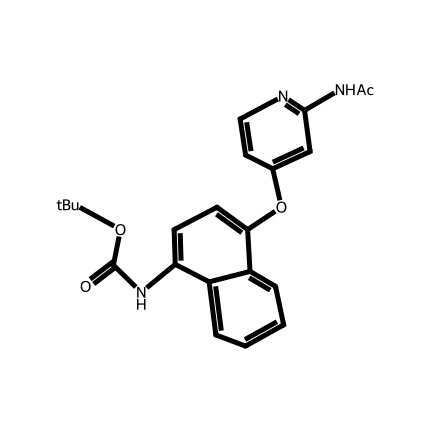 CC(=O)Nc1cc(Oc2ccc(NC(=O)OC(C)(C)C)c3ccccc23)ccn1